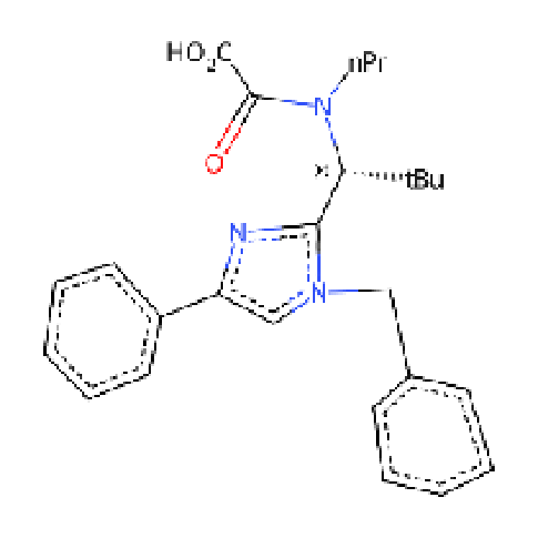 CCCN(C(=O)C(=O)O)[C@@H](c1nc(-c2ccccc2)cn1Cc1ccccc1)C(C)(C)C